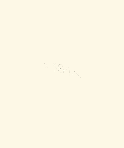 CC(C)(C)C(=O)CCC(=O)Nc1cccc2c(C(=O)NCC(=O)N3CC(F)(F)C[C@H]3C#N)ccnc12